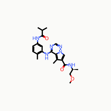 COC[C@H](C)NC(=O)c1cn2ncnc(Nc3cc(NC(=O)C(C)C)ccc3C)c2c1C